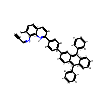 C#C/C=N\c1c(C)ccc2ccc(-c3ccc(-c4ccc5c(-c6ccccc6)c6ccccc6c(-c6ccccc6)c5c4)cc3)nc12